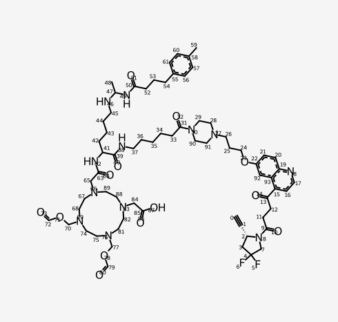 C#C[C@H]1CC(F)(F)CN1C(=O)CCC(=O)c1ccnc2ccc(OCCCN3CCN(C(=O)CCCCCNC(=O)C(CCCCNC(C)NC(=O)CCCc4ccc(C)cc4)NC(=O)CN4CCN(COC=O)CCN(COC=O)CCN(CC(=O)O)CC4)CC3)cc12